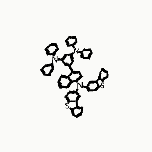 c1ccc(N(c2ccccc2)c2cc(-c3ccc(N(c4ccc5sc6ccccc6c5c4)c4ccc5sc6ccccc6c5c4)c4ccccc34)cc(N(c3ccccc3)c3ccccc3)c2)cc1